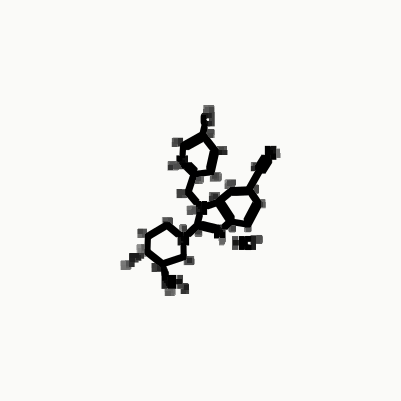 Cl.N#Cc1ccc2nc(N3CC[C@@H](F)[C@H](N)C3)n(Cc3ccc(Cl)cn3)c2c1